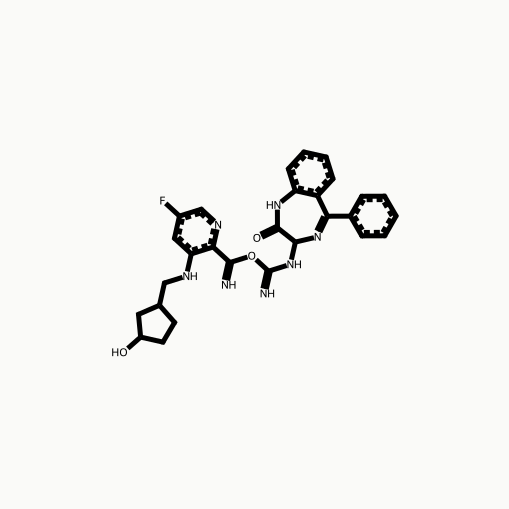 N=C(NC1N=C(c2ccccc2)c2ccccc2NC1=O)OC(=N)c1ncc(F)cc1NCC1CCC(O)C1